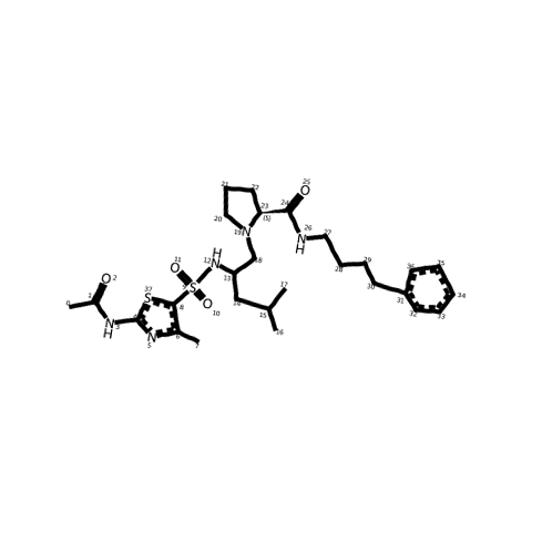 CC(=O)Nc1nc(C)c(S(=O)(=O)NC(CC(C)C)CN2CCC[C@H]2C(=O)NCCCCc2ccccc2)s1